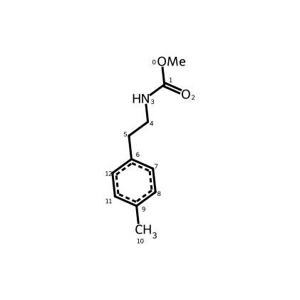 COC(=O)NCCc1ccc(C)cc1